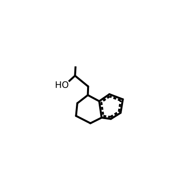 CC(O)CC1CCCc2ccccc21